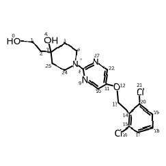 OCCC1(O)CCN(c2ncc(OCc3c(Cl)cccc3Cl)cn2)CC1